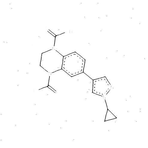 C[C@H]1CN(C(=O)O)c2cc(-c3cnn(C4CC4)c3)ccc2N1C(=O)O